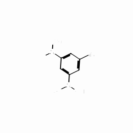 CCC(C)c1cc(N(O)C(C)(C)C)cc(N(O)C(C)(C)C)c1